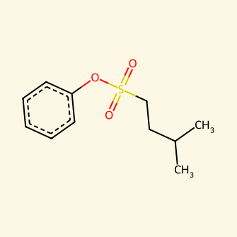 CC(C)CCS(=O)(=O)Oc1ccccc1